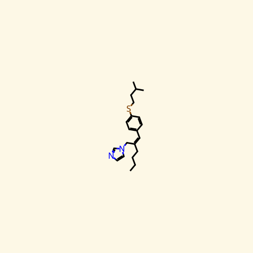 CCCCC(=Cc1ccc(SCCC(C)C)cc1)Cn1ccnc1